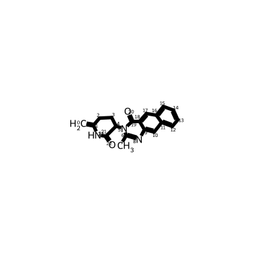 C=C1CCC(n2c(C)nc3cc4ccccc4cc3c2=O)C(=O)N1